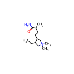 CCC1C[N+](C)(C)CC1CCC(C)C(N)=O